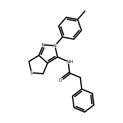 Cc1ccc(-n2nc3c(c2NC(=O)Cc2ccccc2)CSC3)cc1